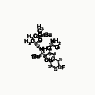 C[C@@H](CNC([C@@H](O)[C@H](Cc1cccc(F)c1)OC(N)=O)C(C)(C)C)O[Si](C)(C)C(C)(C)C